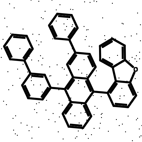 c1ccc(-c2cccc(-c3c4ccccc4c(-c4cccc5oc6ccccc6c45)c4ccc(-c5ccccc5)cc34)c2)cc1